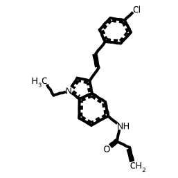 C=CC(=O)Nc1ccc2c(c1)c(C=Cc1ccc(Cl)cc1)cn2CC